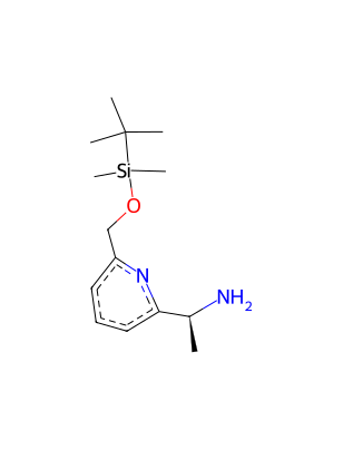 C[C@H](N)c1cccc(CO[Si](C)(C)C(C)(C)C)n1